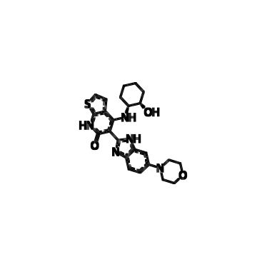 O=c1[nH]c2sccc2c(N[C@H]2CCCC[C@H]2O)c1-c1nc2ccc(N3CCOCC3)cc2[nH]1